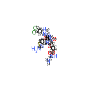 CCCN(C(=O)NCc1ccc(Cl)c(Cl)c1)N1CC(=O)N2[C@@H](Cc3ccc(OC(=O)NCCN(C)C)cc3)C(=O)N(Cc3cccc4sc(N)nc34)C[C@@H]21